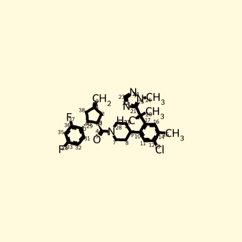 C=C1C[C@@H](C(=O)N2CCC(c3cc(Cl)c(C)cc3C(C)(C)c3ncnn3C)CC2)[C@H](c2ccc(F)cc2F)C1